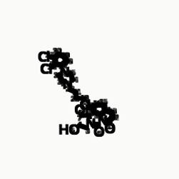 O=C(N(CCO)CCO)n1c(=O)ccc2ccc(OCCCCN3CCN(c4cccc(Cl)c4Cl)CC3)cc21